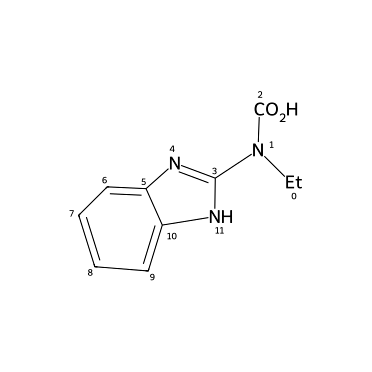 CCN(C(=O)O)c1nc2ccccc2[nH]1